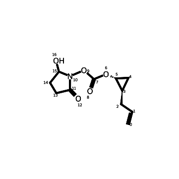 C=CC[C@@H]1C[C@H]1OC(=O)ON1C(=O)CCC1O